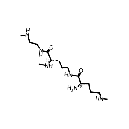 CNCCC[C@@H](N)C(=O)NCCC[C@H](NC)C(=O)NCCNC